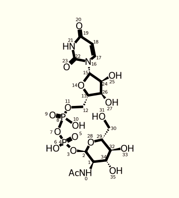 CC(=O)N[C@H]1[C@@H](OP(=O)(O)OP(=O)(O)OC[C@@H]2O[C@H](n3ccc(=O)[nH]c3=O)[C@@H](O)[C@H]2O)O[C@H](CO)[C@@H](O)[C@@H]1O